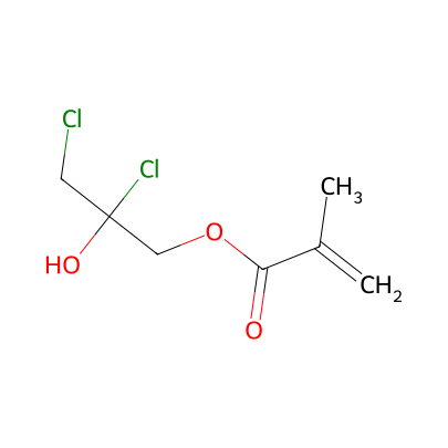 C=C(C)C(=O)OCC(O)(Cl)CCl